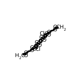 C=CC(=O)OCCCCOC(=O)Oc1ccc(C(=O)C(=O)[C@H]2CC[C@H](C(=O)C(=O)c3ccc(OC(=O)OCCCCOC(=O)C=C)c(Cl)c3)CC2)cc1Cl